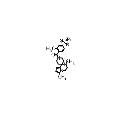 Cc1cc(S(=O)(=O)C(C)C)ccc1C(=O)N1CCC2(CC1)c1ccc(C(F)(F)F)n1CCN2C